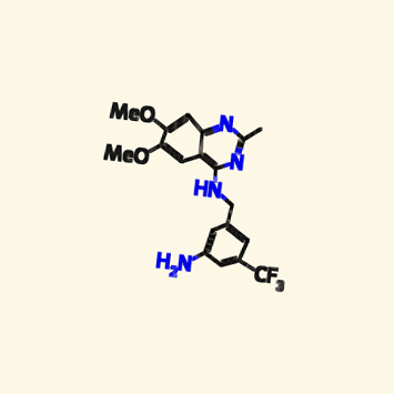 COc1cc2nc(C)nc(NCc3cc(N)cc(C(F)(F)F)c3)c2cc1OC